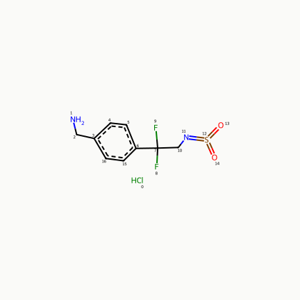 Cl.NCc1ccc(C(F)(F)CN=S(=O)=O)cc1